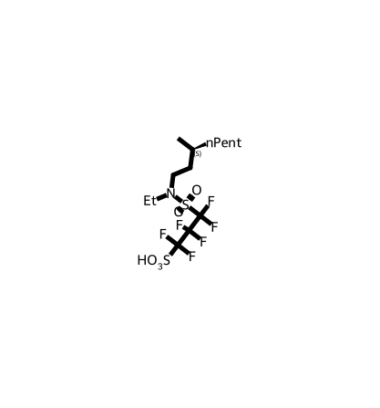 CCCCC[C@H](C)CCN(CC)S(=O)(=O)C(F)(F)C(F)(F)C(F)(F)S(=O)(=O)O